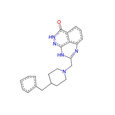 O=c1[nH]nc2c3c(cccc13)N=C(CN1CCC(Cc3ccccc3)CC1)N2